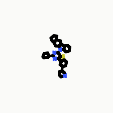 c1ccc(-c2nc(-n3c4ccccc4c4cc5ccccc5cc43)c3sc4ccc(-c5cccnc5)cc4c3n2)cc1